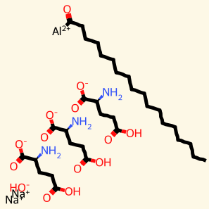 CCCCCCCCCCCCCCCCC[C](=O)[Al+2].N[C@@H](CCC(=O)O)C(=O)[O-].N[C@@H](CCC(=O)O)C(=O)[O-].N[C@@H](CCC(=O)O)C(=O)[O-].[Na+].[Na+].[OH-]